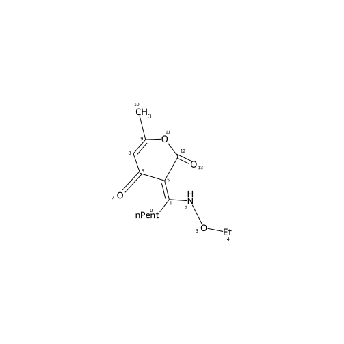 CCCCCC(NOCC)=C1C(=O)C=C(C)OC1=O